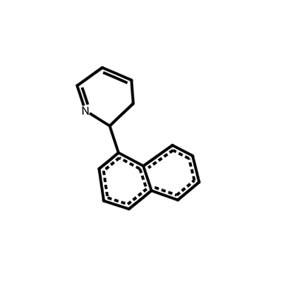 C1=CCC(c2cccc3ccccc23)N=C1